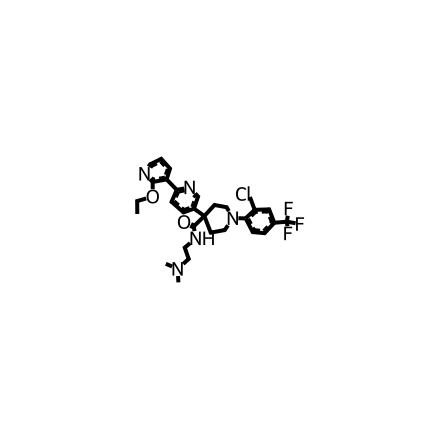 CCOc1ncccc1-c1ccc(C2(C(=O)NCCN(C)C)CCN(c3ccc(C(F)(F)F)cc3Cl)CC2)cn1